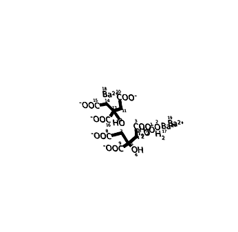 O.O.O.O=C([O-])CC(O)(CC(=O)[O-])C(=O)[O-].O=C([O-])CC(O)(CC(=O)[O-])C(=O)[O-].[Ba+2].[Ba+2].[Ba+2]